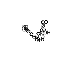 CN1CCCn2c(C(=O)O)c(CCCOc3cccc4ccccc34)c3cccc(c32)-c2c(nn(C)c2COc2ccc(N3CCN(S(=O)(=O)N(C)C)CC3)cc2)C1